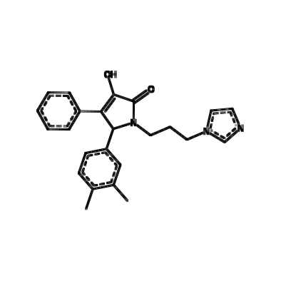 Cc1ccc(C2C(c3ccccc3)=C(O)C(=O)N2CCCn2ccnc2)cc1C